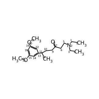 CCN(CC)CCC(=O)CCC(C)c1cc(OC)cc(OC)c1